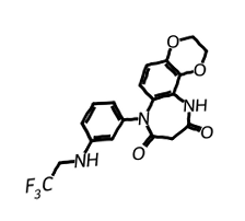 O=C1CC(=O)N(c2cccc(NCC(F)(F)F)c2)c2ccc3c(c2N1)OCCO3